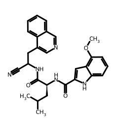 COc1cccc2[nH]c(C(=O)N[C@@H](CC(C)C)C(=O)NC(C#N)Cc3cncc4ccccc34)cc12